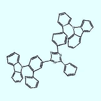 c1ccc(-c2nc(-c3ccc(-c4ccccc4-n4c5ccccc5c5ccccc54)cc3)nc(-c3ccc(-n4c5ccccc5c5ccccc54)c(-c4ccccc4)c3)n2)cc1